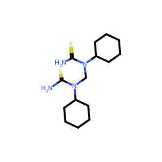 NC(=S)N(CN(C(N)=S)C1CCCCC1)C1CCCCC1